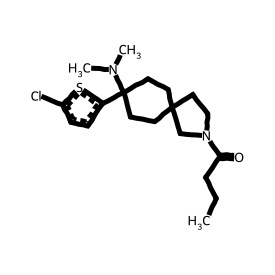 CCCC(=O)N1CCC2(CCC(c3ccc(Cl)s3)(N(C)C)CC2)C1